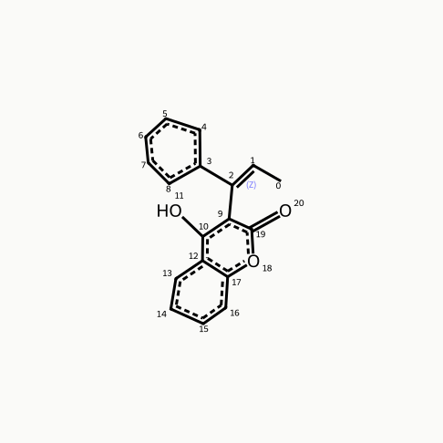 C/C=C(/c1ccccc1)c1c(O)c2ccccc2oc1=O